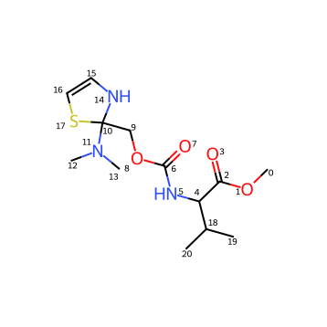 COC(=O)C(NC(=O)OCC1(N(C)C)NC=CS1)C(C)C